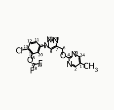 Cc1cnc(OCc2cn(-c3ccc(Cl)c(OC(F)F)c3)nn2)nc1